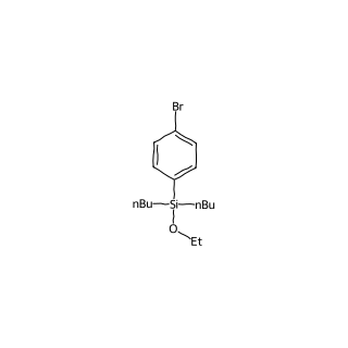 CCCC[Si](CCCC)(OCC)c1ccc(Br)cc1